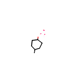 CC(C)(C)C1CCC(O[PH](=O)O)CC1